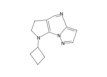 c1cc2ncc3c(n2n1)N(C1CCC1)CC3